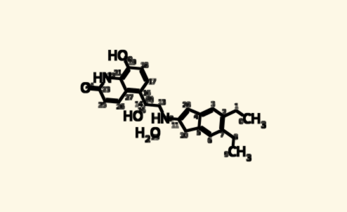 CCc1cc2c(cc1CC)CC(NC[C@H](O)c1ccc(O)c3[nH]c(=O)ccc13)=C2.O